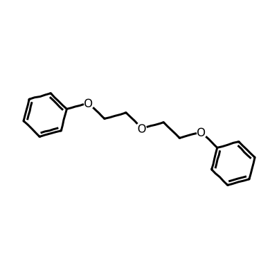 c1ccc(OCCOCCOc2ccccc2)cc1